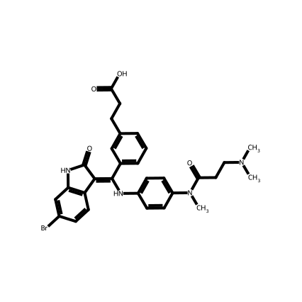 CN(C)CCC(=O)N(C)c1ccc(NC(=C2C(=O)Nc3cc(Br)ccc32)c2cccc(CCC(=O)O)c2)cc1